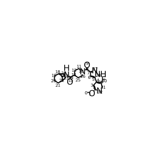 COc1cc(-c2cc(C(=O)N3CCC(C(=O)NC4C5CCCC4CC5)CC3)n[nH]2)c(F)cn1